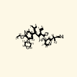 C=C/C(=C\C(=C(C)C)c1cnc(OCC)c(N2CCOCC2)c1)C(=O)Nc1ccnc(C(C)(C)C#N)c1